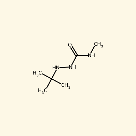 CNC(=O)NNC(C)(C)C